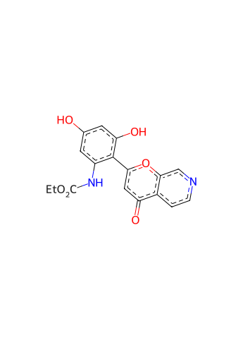 CCOC(=O)Nc1cc(O)cc(O)c1-c1cc(=O)c2ccncc2o1